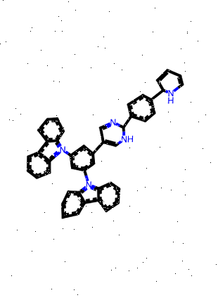 C1=CNC(c2ccc(C3N=CC(c4cc(-n5c6ccccc6c6ccccc65)cc(-n5c6ccccc6c6ccccc65)c4)=CN3)cc2)C=C1